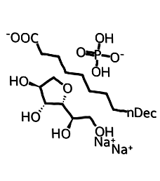 CCCCCCCCCCCCCCCCCC(=O)[O-].O=P([O-])(O)O.OC[C@@H](O)[C@H]1OC[C@H](O)[C@H]1O.[Na+].[Na+]